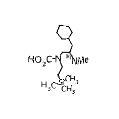 CN[C@H](CC1CCCCC1)CN(CC[Si](C)(C)C)C(=O)O